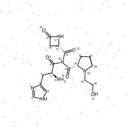 N[C@@H](Cc1c[nH]cn1)C(=O)N(C(=O)[C@@H]1CC(=O)N1)C(=O)[C@@H]1CCCN1CCO